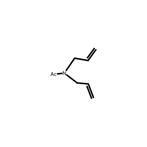 [CH2]C(=O)N(CC=C)CC=C